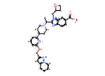 CC(c1nc2ccc(C(=O)O)cc2n1CC1CCO1)N1CCC(c2cccc(OCc3cc4ccccn4n3)n2)CC1